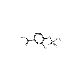 COC(=O)c1ccc(OS(C)(=O)=O)c(C#N)c1